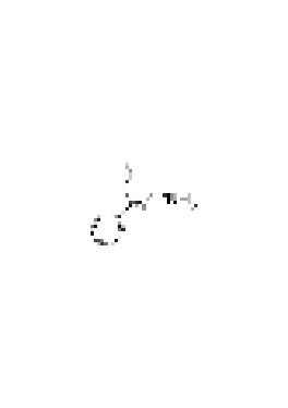 CCC/C(=N\CN)c1ccccc1